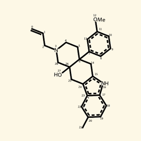 C=CCN1CCC2(c3cccc(OC)c3)Cc3[nH]c4ccc(C)cc4c3CC2(O)C1